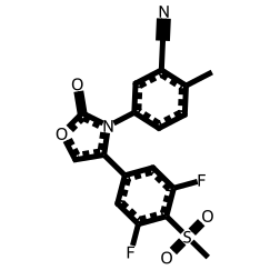 Cc1ccc(-n2c(-c3cc(F)c(S(C)(=O)=O)c(F)c3)coc2=O)cc1C#N